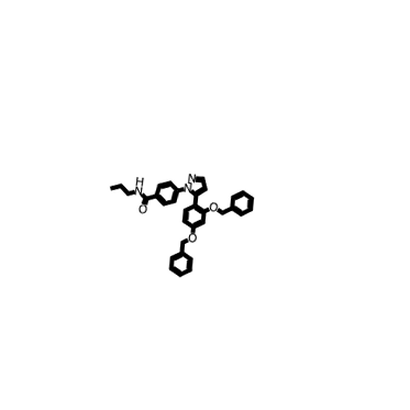 CCCNC(=O)c1ccc(-n2nccc2-c2ccc(OCc3ccccc3)cc2OCc2ccccc2)cc1